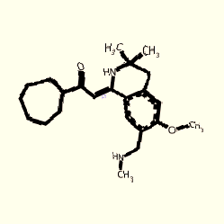 CNCc1cc2c(cc1OC)CC(C)(C)N/C2=C\C(=O)C1CCCCCC1